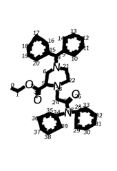 CCOC(=O)C1CN(C(c2ccccc2)c2ccccc2)CCN1CC(=O)N(c1ccccc1)c1ccccc1